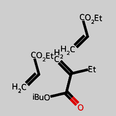 C=C(CC)C(=O)OCC(C)C.C=CC(=O)OCC.C=CC(=O)OCC